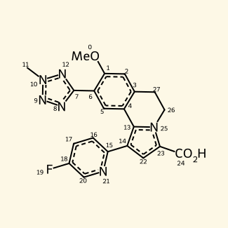 COc1cc2c(cc1-c1nnn(C)n1)-c1c(-c3ccc(F)cn3)cc(C(=O)O)n1CC2